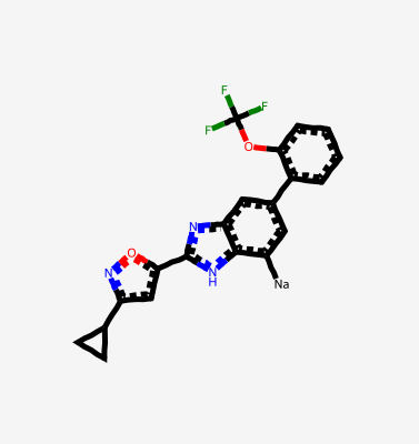 FC(F)(F)Oc1ccccc1-c1c[c]([Na])c2[nH]c(-c3cc(C4CC4)no3)nc2c1